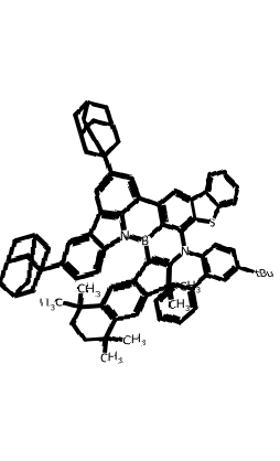 CC(C)(C)c1ccc(N2C3=C(B4c5c(cc6c(sc7ccccc76)c52)-c2cc(C56CC7CC(CC(C7)C5)C6)cc5c6cc(C78CC9CC(CC(C9)C7)C8)ccc6n4c25)c2cc4c(cc2C3(C)C)C(C)(C)CCC4(C)C)c(-c2ccccc2)c1